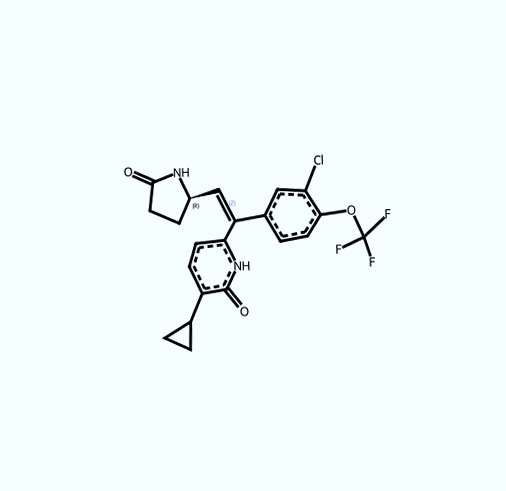 O=C1CC[C@H](/C=C(/c2ccc(OC(F)(F)F)c(Cl)c2)c2ccc(C3CC3)c(=O)[nH]2)N1